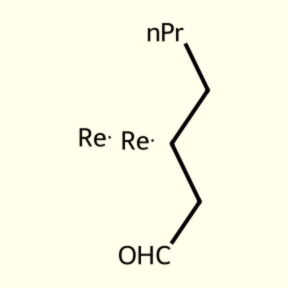 CCCCCCC=O.[Re].[Re]